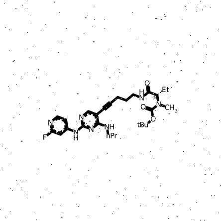 CCCNc1nc(Nc2ccnc(F)c2)ncc1C#CCCCNC(=O)[C@H](CC)N(C)C(=O)OC(C)(C)C